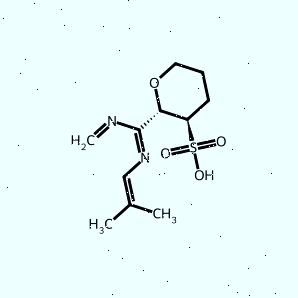 C=N/C(=N\C=C(C)C)[C@@H]1OCCC[C@H]1S(=O)(=O)O